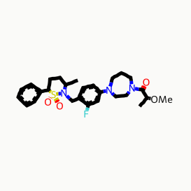 COC(C)C(=O)N1CCCN(c2ccc(CN3C(C)CCC(c4ccccc4)S3(=O)=O)c(F)c2)CC1